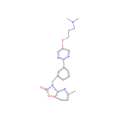 Cc1ccc2oc(=O)n(Cc3cccc(-c4ncc(OCCCN(C)C)cn4)c3)c2n1